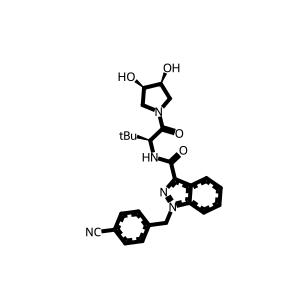 CC(C)(C)[C@H](NC(=O)c1nn(Cc2ccc(C#N)cc2)c2ccccc12)C(=O)N1C[C@@H](O)[C@@H](O)C1